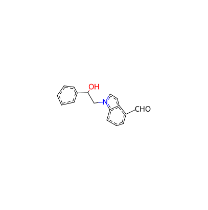 O=Cc1cccc2c1ccn2CC(O)c1ccccc1